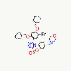 CC(C)c1cc(-c2nnc(S(C)(=O)=O)n2-c2ccc(CN3CCOCC3)cc2)c(OCc2ccccc2)cc1OCc1ccccc1